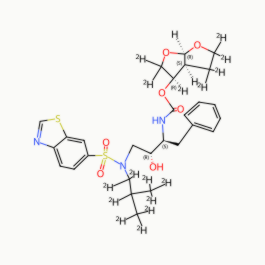 [2H]C([2H])([2H])C([2H])(C([2H])([2H])[2H])C([2H])([2H])N(C[C@@H](O)[C@H](Cc1ccccc1)NC(=O)O[C@]1([2H])[C@H]2[C@H](OC([2H])([2H])C2([2H])[2H])OC1([2H])[2H])S(=O)(=O)c1ccc2ncsc2c1